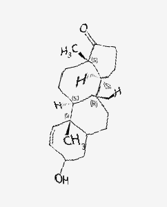 C[C@]12C=CC(O)CC1CC[C@@H]1[C@@H]2CC[C@]2(C)C(=O)CC[C@@H]12